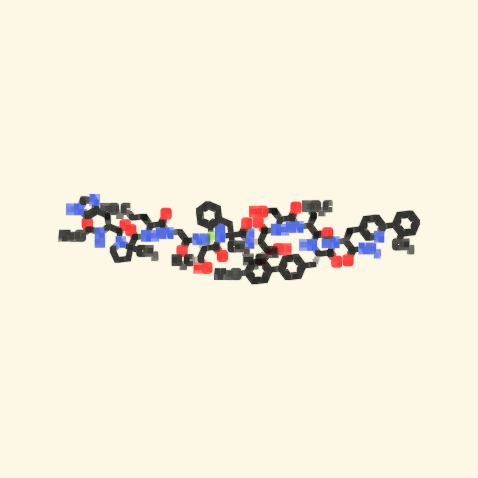 CCc1cc(OC)ccc1-c1ccc(C[C@H](NC(=O)[C@H](CC(=O)O)NC(=O)[C@H](CO)NC(=O)[C@@H](NC(=O)C(C)(Cc2ccccc2F)NC(=O)[C@@H](NC(=O)CNC(=O)[C@H](CCC(=O)O)NC(=O)C2(C)CCCN2C(=O)[C@H](Cc2c[nH]cn2)NC(=O)OC)[C@@H](C)O)[C@@H](C)O)C(=O)N[C@@H](Cc2ccc(-c3ccccc3C)nc2)C(N)=O)cc1